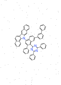 c1ccc(-c2cccc(-c3ccc4c(-n5c6cc7ccccc7cc6c6ccc7ccccc7c65)cc(-c5ccccc5)c(-c5nc(-c6ccccc6)nc(-c6ccccc6)n5)c4c3)c2)cc1